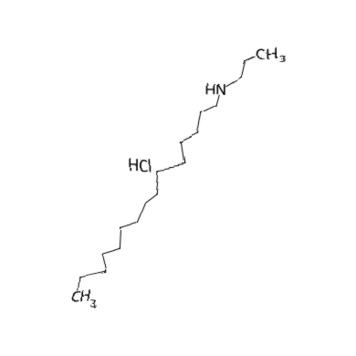 CCCCCCCCCCCCCCCNCCC.Cl